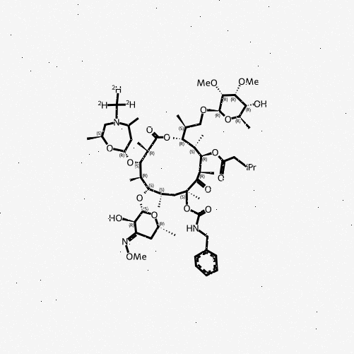 [2H]C([2H])([2H])N1C[C@H](C)O[C@@H](O[C@H]2[C@H](C)[C@@H](O[C@@H]3O[C@H](C)CC(=NOC)[C@H]3O)[C@@H](C)C[C@](C)(OC(=O)NCc3ccccc3)C(=O)[C@H](C)[C@H](OC(=O)CC(C)C)[C@@H](C)[C@@H]([C@@H](C)CO[C@@H]3O[C@H](C)[C@@H](O)[C@@H](OC)[C@H]3OC)OC(=O)[C@@H]2C)CC1C